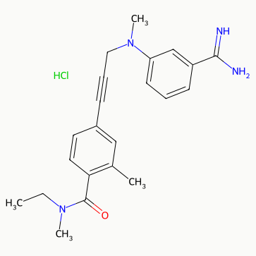 CCN(C)C(=O)c1ccc(C#CCN(C)c2cccc(C(=N)N)c2)cc1C.Cl